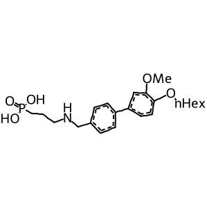 CCCCCCOc1ccc(-c2ccc(CNCCCP(=O)(O)O)cc2)cc1OC